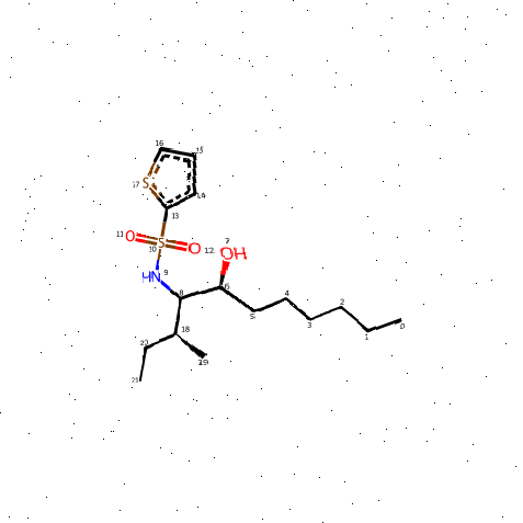 CCCCCC[C@H](O)C(NS(=O)(=O)c1cccs1)[C@@H](C)CC